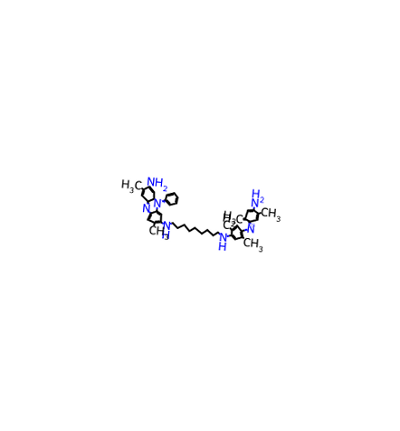 C=C1C=C(N)C(C)=C/C1=N/c1cc(C)c(NCCCCCCCCCNc2cc3c(cc2C)nc2cc(C)c(N)cc2[n+]3-c2ccccc2)cc1C